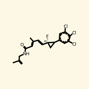 C=C(C)CNC(=O)C=C(C)C=C[C@]1(F)CC1c1cc(Cl)c(Cl)c(Cl)c1